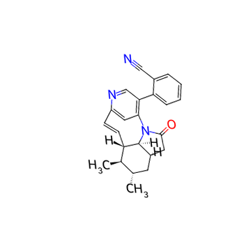 C[C@H]1[C@@H]2/C=C/c3cc(c(-c4ccccc4C#N)cn3)N3C(=O)C[C@@H](C[C@@H]1C)[C@@H]23